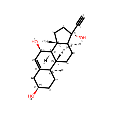 C#C[C@]1(O)CC[C@H]2[C@@H]3[C@H](O)C=C4C[C@H](O)CC[C@]4(C)[C@H]3CC[C@@]21C